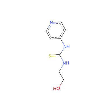 OCCNC(=S)Nc1ccncc1